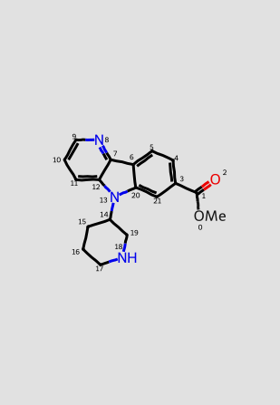 COC(=O)c1ccc2c3ncccc3n(C3CCCNC3)c2c1